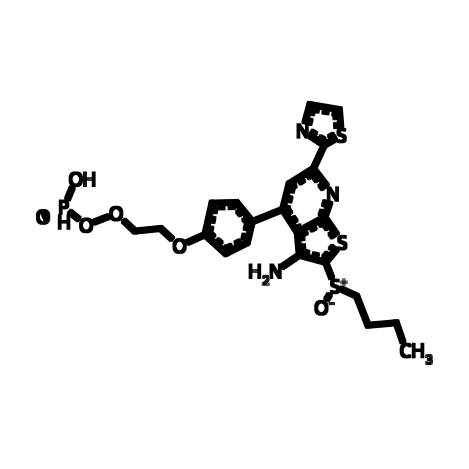 CCCC[S+]([O-])c1sc2nc(-c3nccs3)cc(-c3ccc(OCCOO[PH](=O)O)cc3)c2c1N